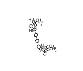 CC(C)(C)OC(=O)N1CCCC1c1ncc(-c2ccc(-c3ccc(-c4ccc5nc(C6C7CCC(C7)N6C(=O)OC(C)(C)C)[nH]c5c4)cc3)cc2)[nH]1